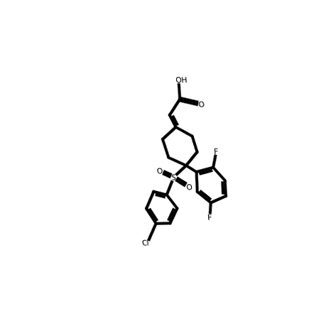 O=C(O)C=C1CCC(c2cc(F)ccc2F)(S(=O)(=O)c2ccc(Cl)cc2)CC1